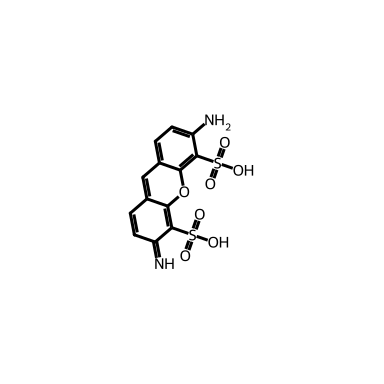 N=c1ccc2cc3ccc(N)c(S(=O)(=O)O)c3oc-2c1S(=O)(=O)O